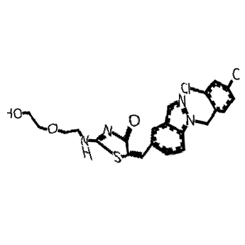 O=C1N=C(NCCOCCO)SC1=Cc1ccc2c(cnn2Cc2ccc(Cl)cc2Cl)c1